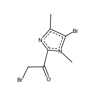 Cc1nc(C(=O)CBr)n(C)c1Br